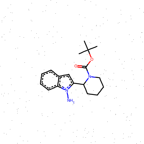 CC(C)(C)OC(=O)N1CCCCC1c1cc2ccccc2n1N